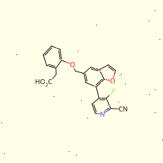 N#Cc1nccc(-c2cc(COc3ccccc3CC(=O)O)cc3ccoc23)c1F